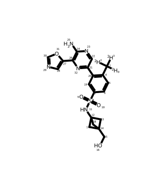 [2H]C([2H])([2H])c1ccc(S(=O)(=O)NC23CC(CO)(C2)C3)cc1-c1cnc(N)c(-c2cnco2)n1